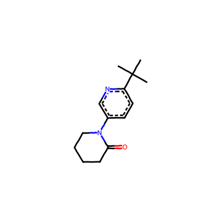 CC(C)(C)c1ccc(N2CCCCC2=O)cn1